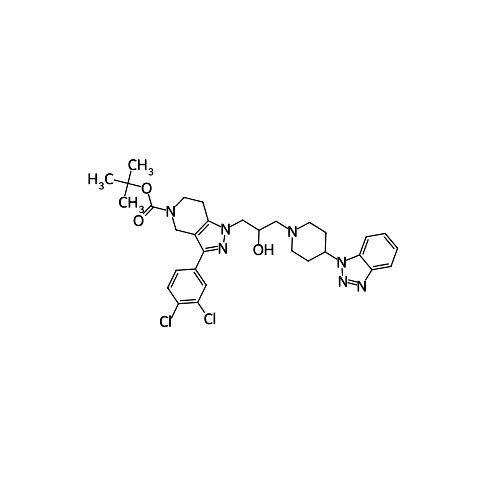 CC(C)(C)OC(=O)N1CCc2c(c(-c3ccc(Cl)c(Cl)c3)nn2CC(O)CN2CCC(n3nnc4ccccc43)CC2)C1